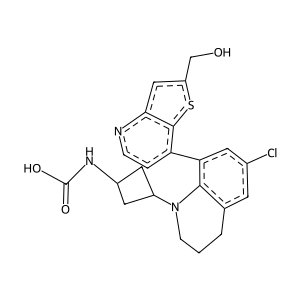 O=C(O)NC1CC(N2CCCc3cc(Cl)cc(-c4ccnc5cc(CO)sc45)c32)C1